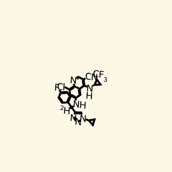 [2H]C(Nc1cc(Cl)c2ncc(C#N)c(N[C@@H]3C[C@H]3C(F)(F)F)c2c1)(c1ccc(F)cc1)c1cn(C2CC2)nn1